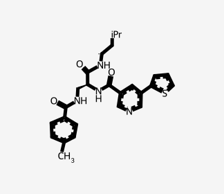 Cc1ccc(C(=O)NC[C@H](NC(=O)c2cncc(-c3cccs3)c2)C(=O)N[CH]CC(C)C)cc1